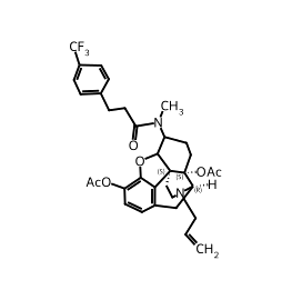 C=CCN1CC[C@]23c4c5ccc(OC(C)=O)c4OC2C(N(C)C(=O)CCc2ccc(C(F)(F)F)cc2)CC[C@@]3(OC(C)=O)[C@H]1C5